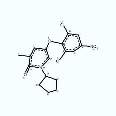 Cc1cc(Oc2c(Cl)cc([N+](=O)[O-])cc2Cl)cn(C2CCCC2)c1=O